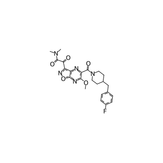 COc1nc2onc(C(=O)C(=O)N(C)C)c2nc1C(=O)N1CCC(Cc2ccc(F)cc2)CC1